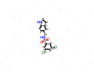 O=S(=O)(NCc1ccc2[nH]ccc2c1)c1cc(Cl)cc(Cl)c1